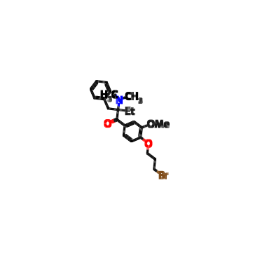 CCC(Cc1ccccc1)(C(=O)c1ccc(OCCCBr)c(OC)c1)N(C)C